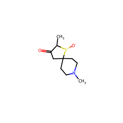 CC1C(=O)CC2(CCN(C)CC2)[S+]1[O-]